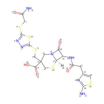 NC(=O)CSc1nnc(SCC2(C(=O)O)CS[C@@H]3C(NC(=O)Cc4csc(N)n4)C(=O)N3C2)s1